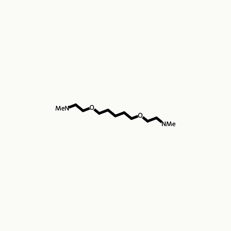 CNCCOCCCCCOCCNC